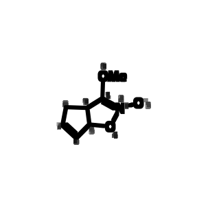 COC1=[N+]([O-])OC2C=CCC12